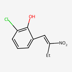 CC/C(=C\c1cccc(Cl)c1O)[N+](=O)[O-]